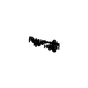 Cc1c([C@@H](C)Nc2nnc(C)c3ccc(N4CCN(CCCCCCCNC(=O)[C@H](CC(C)C)NC(=O)[C@@H](O)[C@@H](Cc5ccccc5)NC(=O)O)CC4)cc23)cccc1C(F)(F)F